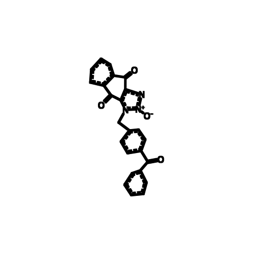 O=C(c1ccccc1)c1ccc(Cn2c3c(n[n+]2[O-])C(=O)c2ccccc2C3=O)cc1